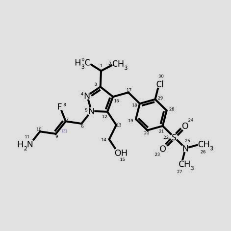 CC(C)c1nn(C/C(F)=C/CN)c(CCO)c1Cc1ccc(S(=O)(=O)N(C)C)cc1Cl